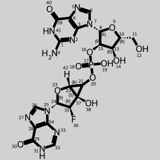 Nc1nc2c(ncn2[C@@H]2O[C@H](CO)[C@@H](O)[C@H]2OP(=O)(O)OC2[C@H]3O[C@@H](n4cnc5c(=O)[nH]cnc54)[C@H](F)[C@@]23O)c(=O)[nH]1